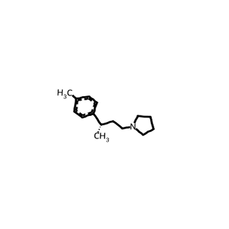 Cc1ccc([C@@H](C)CCN2CCCC2)cc1